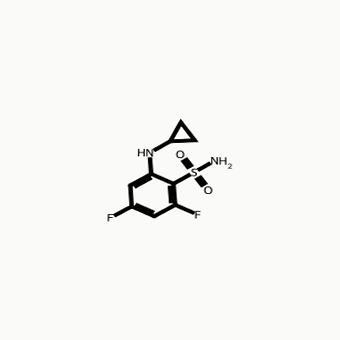 NS(=O)(=O)c1c(F)cc(F)cc1NC1CC1